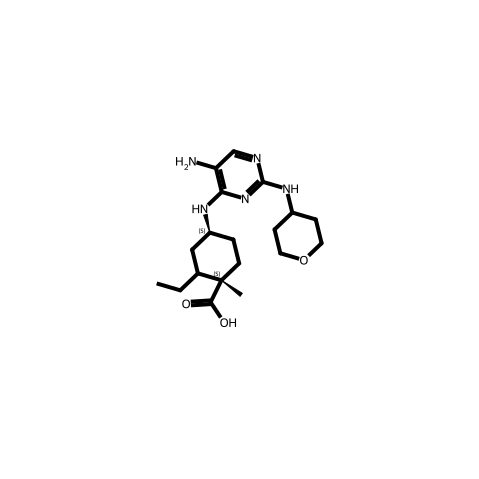 CCC1C[C@@H](Nc2nc(NC3CCOCC3)ncc2N)CC[C@]1(C)C(=O)O